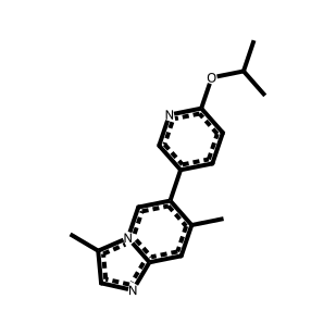 Cc1cc2ncc(C)n2cc1-c1ccc(OC(C)C)nc1